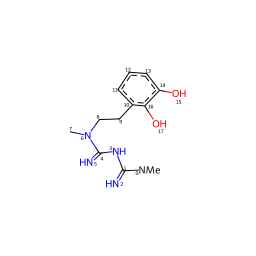 CNC(=N)NC(=N)N(C)CCc1cccc(O)c1O